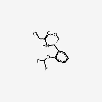 O=C(CCl)N[C@H](CO)c1ccccc1OC(F)F